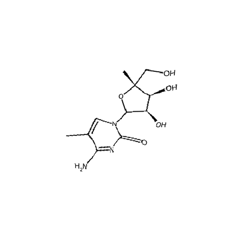 Cc1cn(C2O[C@](C)(CO)[C@@H](O)[C@H]2O)c(=O)nc1N